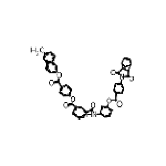 Cc1ccc2cc(OC(=O)c3ccc(OC(=O)c4cccc(C(=O)Nc5cccc(OC(=O)c6ccc(N7C(=O)C8C9C=CC(C9)C8C7=O)cc6)c5)c4)cc3)ccc2c1